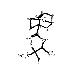 O=C(OC(C(F)(F)F)C(F)(F)S(=O)(=O)O)C12CC3CC=C1C(C3)C2